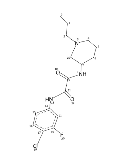 CCCN1CCCC(NC(=O)C(=O)Nc2ccc(Cl)c(F)c2)C1